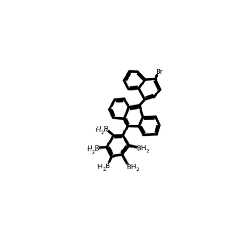 Bc1c(B)c(B)c(-c2c3ccccc3c(-c3ccc(Br)c4ccccc34)c3ccccc23)c(B)c1B